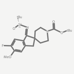 COc1cc2c(cc1F)C(=N[S@+]([O-])C(C)(C)C)C1(CCN(C(=O)OC(C)(C)C)CC1)C2